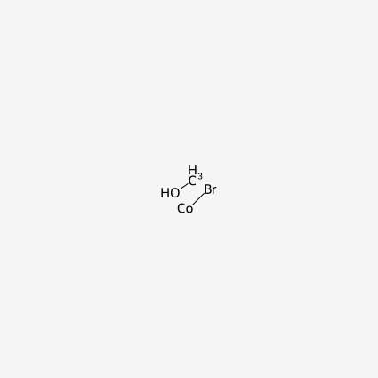 CO.[Co][Br]